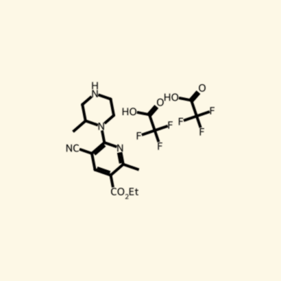 CCOC(=O)c1cc(C#N)c(N2CCNCC2C)nc1C.O=C(O)C(F)(F)F.O=C(O)C(F)(F)F